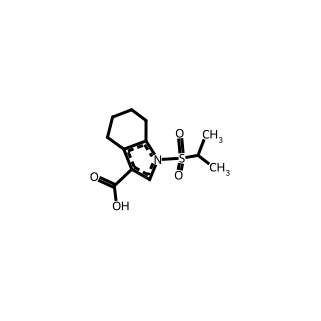 CC(C)S(=O)(=O)n1cc(C(=O)O)c2c1CCCC2